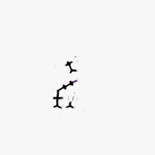 CC(C)BC(C)C(C)(C)CC(C)(C)C(C)(I)BC(C)C(C)(C)BF